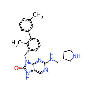 Cc1cccc(-c2cccc(Cn3c(=O)[nH]c4cnc(NC[C@@H]5CCNC5)nc43)c2C)c1